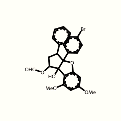 COc1cc(OC)c2c(c1)OC1(c3ccc(Br)cc3)C(c3ccccc3)CC(OC=O)C21O